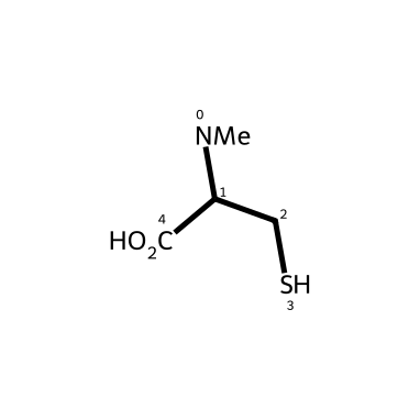 CNC(CS)C(=O)O